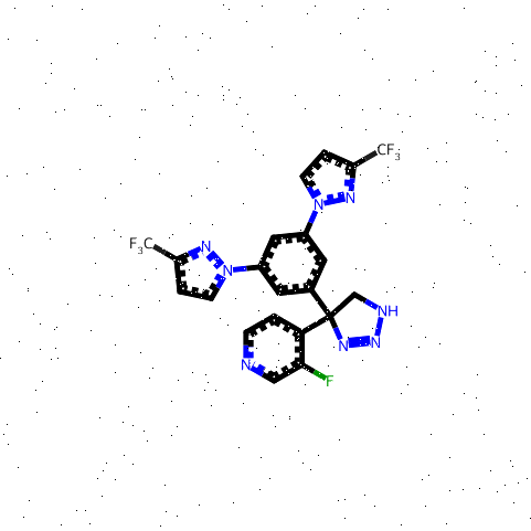 Fc1cnccc1C1(c2cc(-n3ccc(C(F)(F)F)n3)cc(-n3ccc(C(F)(F)F)n3)c2)CNN=N1